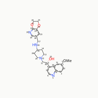 COc1ccc2nccc([C@@H](O)CN3CCC(NCc4cnc5c(c4)OCCO5)CC3)c2c1